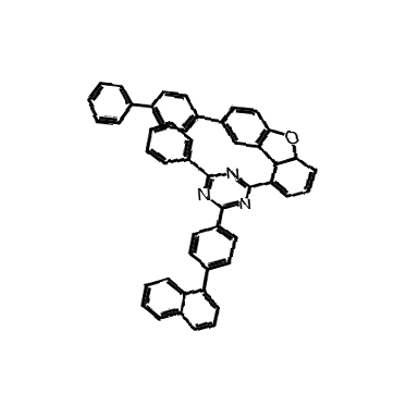 C1=CC2Oc3ccc(-c4ccc(-c5ccccc5)cc4)cc3C2C(c2nc(-c3ccccc3)nc(-c3ccc(-c4cccc5ccccc45)cc3)n2)=C1